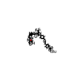 CC(C)(C)OC(=O)N1CCC(CCOCC2CCC(n3cc(NC(=O)c4cnn5ccc(N6C[C@H]7C[C@@H]6CO7)nc45)c(C(F)F)n3)CC2)CC1